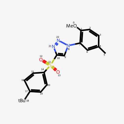 COc1ccc(C)cc1-n1cc(S(=O)(=O)c2ccc(C(C)(C)C)cc2)nn1